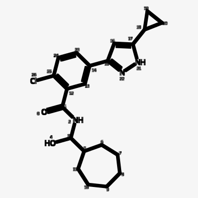 O=C(NC(O)C1CCCCCC1)c1cc(-c2cc(C3CC3)[nH]n2)ccc1Cl